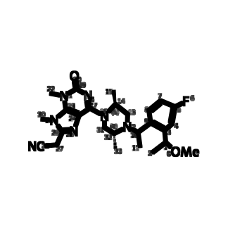 COC(C)c1cc(F)ccc1C(C)N1C[C@H](C)N(c2nc(=O)n(C)c3c2nc(CC#N)n3C)C[C@H]1C